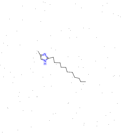 CCCCCCCCCCCc1nc(C)c[nH]1